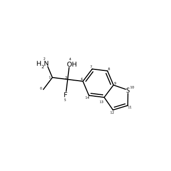 CC(N)C(O)(F)c1ccc2sccc2c1